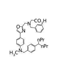 CCCC(CCC)c1ccc(CN(C)c2ccc(-c3coc(CN(CC(=O)O)Cc4ccccc4)n3)cc2)cc1